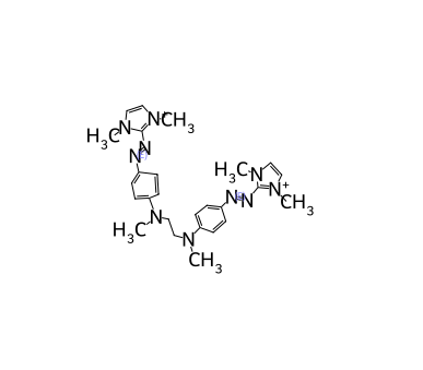 CN(CCN(C)c1ccc(/N=N/c2n(C)cc[n+]2C)cc1)c1ccc(/N=N/c2n(C)cc[n+]2C)cc1